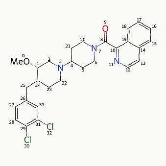 CO[C@@H]1CN(C2CCN(C(=O)c3nccc4ccccc34)CC2)CCC1Cc1ccc(Cl)c(Cl)c1